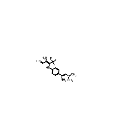 B/C(C=N)=C(/Nc1ccc(/C(N)=C/N(C)N)cc1)C(F)(F)F